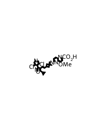 COc1cc(C(=O)O)nc2ccc(N3CC4(CC(C=Cc5c(-c6c(Cl)cncc6Cl)noc5C5CC5)C4)C3)nc12